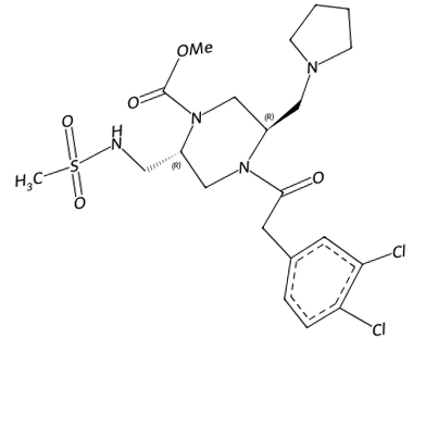 COC(=O)N1C[C@@H](CN2CCCC2)N(C(=O)Cc2ccc(Cl)c(Cl)c2)C[C@@H]1CNS(C)(=O)=O